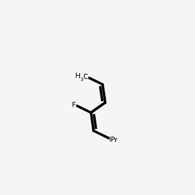 C/C=C\C(F)=C/C(C)C